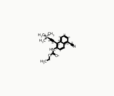 CCOC(=O)Nc1ccc2c(C#N)cccc2c1C#C[Si](C)(C)C